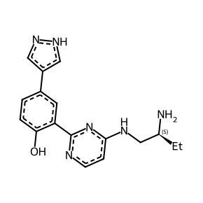 CC[C@H](N)CNc1ccnc(-c2cc(-c3cn[nH]c3)ccc2O)n1